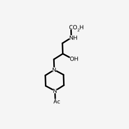 CC(=O)N1CCN(CC(O)CNC(=O)O)CC1